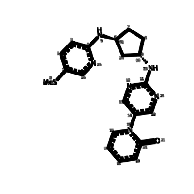 CSc1ccc(N[C@H]2CC[C@H](Nc3ncc(-n4ccccc4=O)cn3)C2)nc1